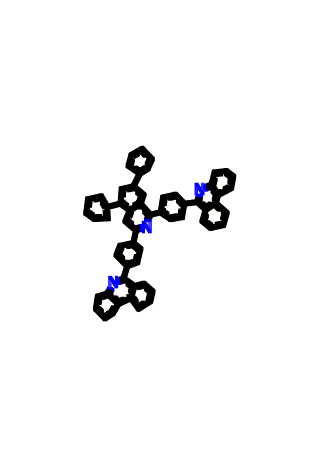 c1ccc(-c2cc(-c3ccccc3)c3cc(-c4ccc(-c5nc6ccccc6c6ccccc56)cc4)nc(-c4ccc(-c5nc6ccccc6c6ccccc56)cc4)c3c2)cc1